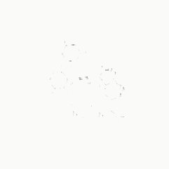 CN(C)C1CCN(C(=O)c2cnc3[nH]nc(C#Cc4ccccc4-c4ccccc4)c3c2)C1